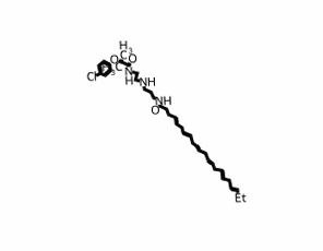 CCC=CCC=CCC=CCC=CCC=CCC=CCCC(=O)NCCCNCCNC(=O)C(C)(C)Oc1ccc(Cl)cc1